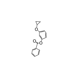 O=C(Oc1cccc(OC2CC2)c1)c1ccccc1